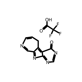 O=C(O)C(F)(F)F.O=C1N=CN=C2N=C3C=NC=CCC3=C12